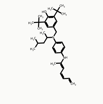 C=C/C=C\C=C(/C)Nc1ccc(N(Cc2cc(C(C)(C)C)c(O)c(C(C)(C)C)c2)C(C)CC(C)C)cc1